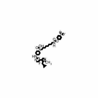 Cn1ncc(-c2nc(NC3CCC(N(CCCCCCCCNC(=O)Oc4ccc([N+](=O)[O-])cc4)C(=O)O)CC3)ncc2F)c1CC1CC1